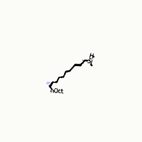 CCCCCCCC/C=C\CCCCCCC[CH][SiH](C)C